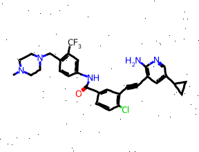 CN1CCN(Cc2ccc(NC(=O)c3ccc(Cl)c(C#Cc4cc(C5CC5)cnc4N)c3)cc2C(F)(F)F)CC1